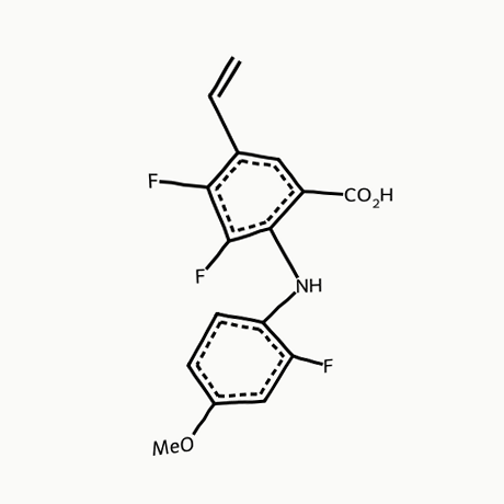 C=Cc1cc(C(=O)O)c(Nc2ccc(OC)cc2F)c(F)c1F